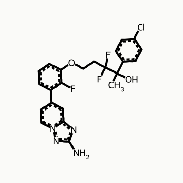 CC(O)(c1ccc(Cl)cc1)C(F)(F)CCOc1cccc(-c2ccn3nc(N)nc3c2)c1F